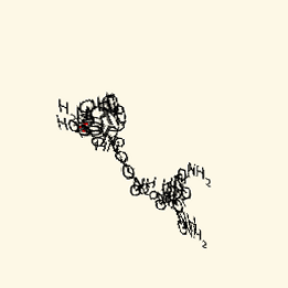 C/C=C\C#C[C@H](O[C@@H]1O[C@H](C)C[C@H](O)[C@H]1O[C@H]1C[C@H](OC)[C@@H](N(CC)CC(=O)NCCOCCOCCNC(=O)OCc2ccc(NC(=O)[C@H](CCCNC(N)=O)NC(=O)[C@@H](NC(=O)[C@H](CCCCN)NC(C)=O)C(C)C)cc2)CO1)C1=C(NC(=O)OC)C(=O)C[C@](N)(O)/C1=C/CSSC(C)C